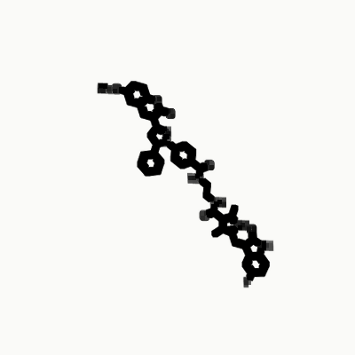 COc1ccc2oc(=O)c(C3=NN(c4ccc(C(=O)NCCNC(=O)c5c(C)[nH]c(C=C6C(=O)Nc7ccc(F)cc76)c5C)cc4)C(c4ccccc4)C3)cc2c1